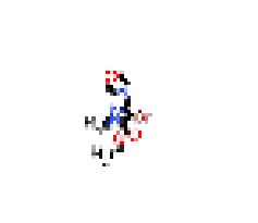 CCOC(=O)c1c(Br)c(CN2CCOCC2)nn1C